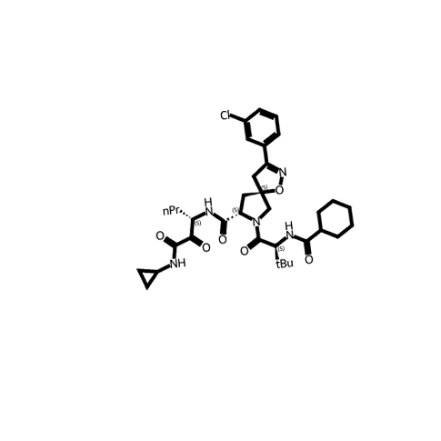 CCC[C@H](NC(=O)[C@@H]1C[C@]2(CC(c3cccc(Cl)c3)=NO2)CN1C(=O)[C@@H](NC(=O)C1CCCCC1)C(C)(C)C)C(=O)C(=O)NC1CC1